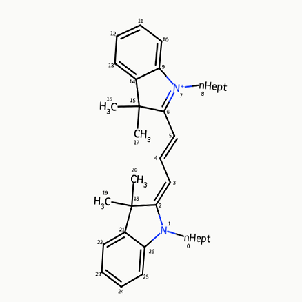 CCCCCCCN1/C(=C/C=C/C2=[N+](CCCCCCC)c3ccccc3C2(C)C)C(C)(C)c2ccccc21